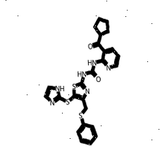 O=C(Nc1nc(CSc2ccccc2)c(Sc2ncc[nH]2)s1)Nc1ncccc1C(=O)C1CCCC1